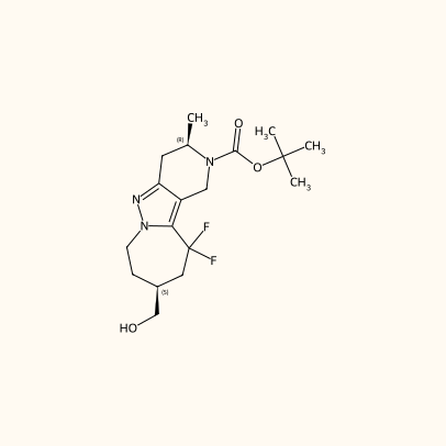 C[C@@H]1Cc2nn3c(c2CN1C(=O)OC(C)(C)C)C(F)(F)C[C@@H](CO)CC3